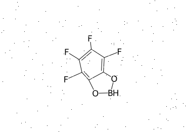 Fc1c(F)c(F)c2c(c1F)OBO2